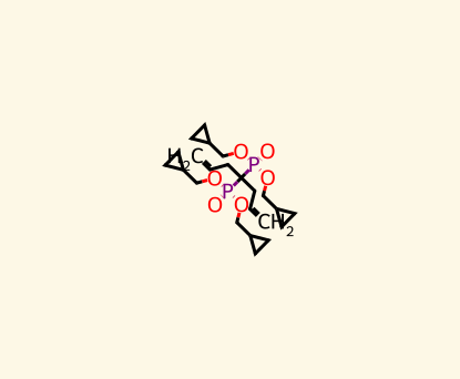 C=CCC(CC=C)(P(=O)(OCC1CC1)OCC1CC1)P(=O)(OCC1CC1)OCC1CC1